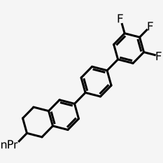 CCCC1CCc2cc(-c3ccc(-c4cc(F)c(F)c(F)c4)cc3)ccc2C1